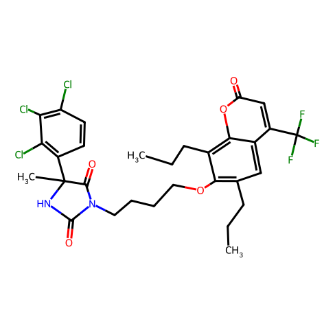 CCCc1cc2c(C(F)(F)F)cc(=O)oc2c(CCC)c1OCCCCN1C(=O)NC(C)(c2ccc(Cl)c(Cl)c2Cl)C1=O